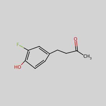 CC(=O)CCc1ccc(O)c(F)c1